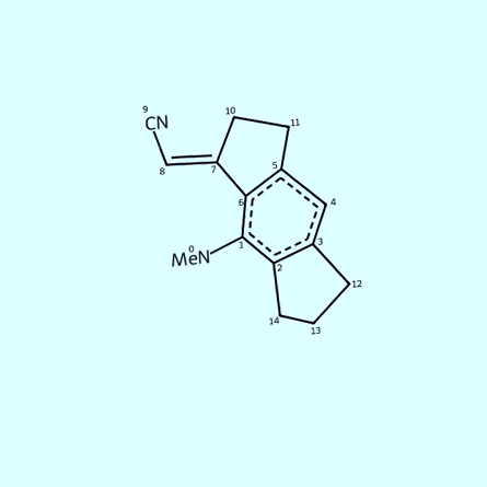 CNc1c2c(cc3c1/C(=C/C#N)CC3)CCC2